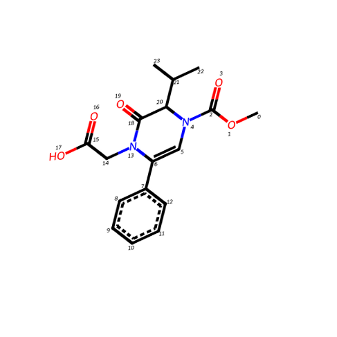 COC(=O)N1C=C(c2ccccc2)N(CC(=O)O)C(=O)C1C(C)C